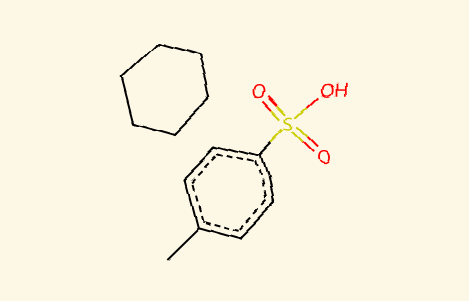 C1CCCCC1.Cc1ccc(S(=O)(=O)O)cc1